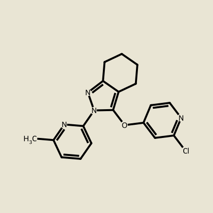 Cc1cccc(-n2nc3c(c2Oc2ccnc(Cl)c2)CCCC3)n1